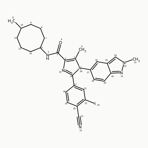 Cc1c(C(=O)NC2CCCC(C)CCC2)nc(-c2ccc(C#N)c(I)c2)n1-c1ccc2nn(C)cc2c1